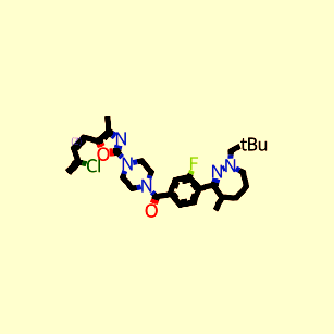 C=C(Cl)/C=C\c1oc(N2CCN(C(=O)c3ccc(C4=NN(CC(C)(C)C)CCCC4C)c(F)c3)CC2)nc1C